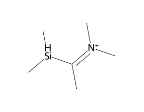 CC(=[N+](C)C)[SiH](C)C